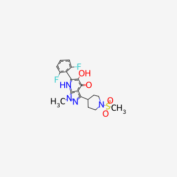 Cn1nc(C2CCN(S(C)(=O)=O)CC2)c2c(=O)c(O)c(-c3c(F)cccc3F)[nH]c21